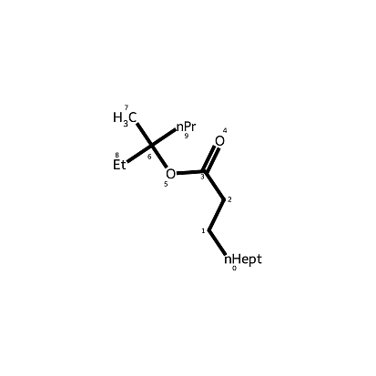 CCCCCCCCCC(=O)OC(C)(CC)CCC